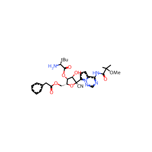 COC(C)(C)C(=O)Nc1ncnn2c([C@]3(C#N)O[C@H](COC(=O)Cc4ccccc4)[C@@H](OC(=O)[C@@H](N)C(C)(C)C)[C@H]3O)ccc12